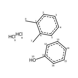 Cc1ccccc1C.Cl.Cl.Oc1ccccc1